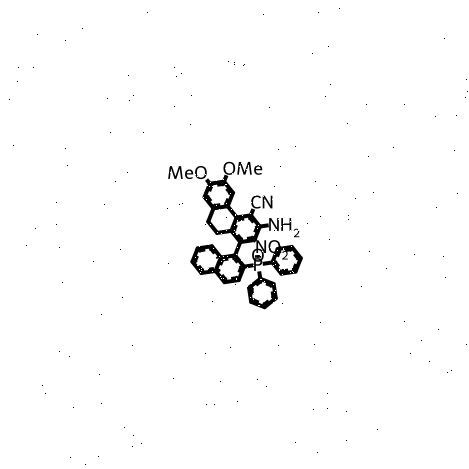 COc1cc2c(cc1OC)-c1c(C#N)c(N)c([N+](=O)[O-])c(-c3c(P(=O)(c4ccccc4)c4ccccc4)ccc4ccccc34)c1CC2